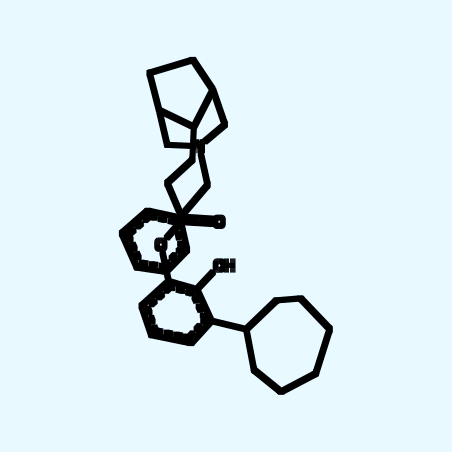 O=C(CCC1C2CCC1CN(Cc1ccccc1)C2)Oc1cccc(C2CCCCCC2)c1O